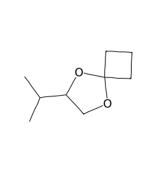 CC(C)C1COC2(CCC2)O1